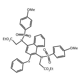 CCOC(=O)CN(c1cc(Sc2ccccc2)c(N(CC(=O)OCC)S(=O)(=O)c2ccc(OC)cc2)c2ccccc12)S(=O)(=O)c1ccc(OC)cc1